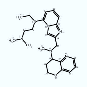 CCN(CCN(C)C)c1cccc2nc(CN(C)C3CCOc4cccnc43)cn12